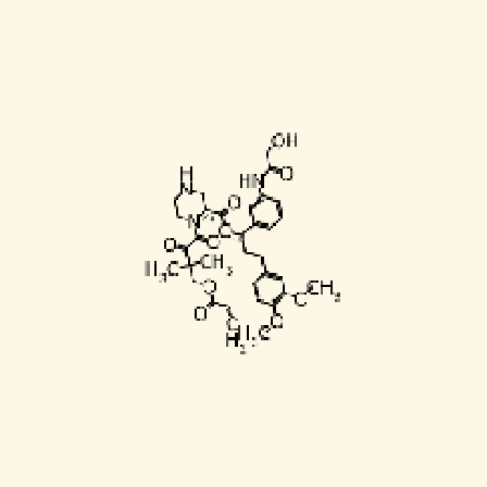 C=CC(=O)OCC(C)(C)C(=O)C(=O)N1CCNC[C@H]1C(=O)O[C@H](CCc1ccc(OC)c(OC)c1)c1cccc(NC(=O)CO)c1